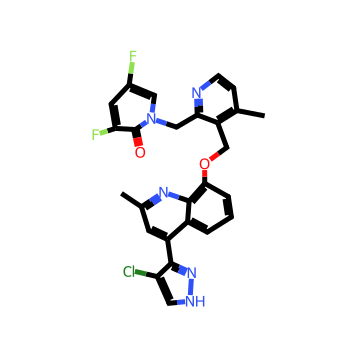 Cc1cc(-c2n[nH]cc2Cl)c2cccc(OCc3c(C)ccnc3Cn3cc(F)cc(F)c3=O)c2n1